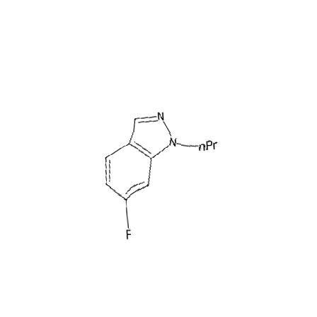 CCCn1ncc2ccc(F)cc21